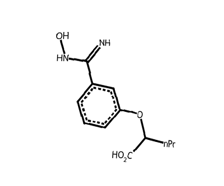 CCCC(Oc1cccc(C(=N)NO)c1)C(=O)O